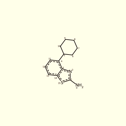 Nc1nc2c(C3CCCCC3)cccc2s1